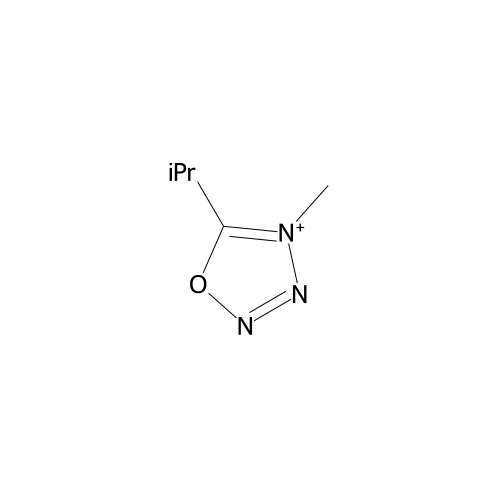 CC(C)c1onn[n+]1C